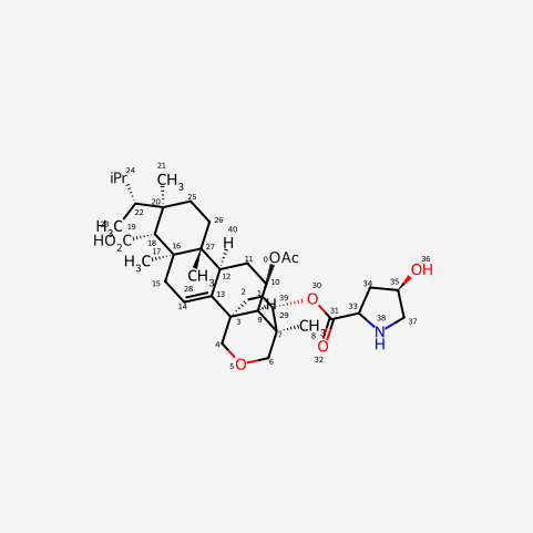 CC(=O)O[C@@H]1C[C@@]23COC[C@@](C)([C@@H]2CC[C@H]2C3=CC[C@@]3(C)[C@H](C(=O)O)[C@@](C)([C@H](C)C(C)C)CC[C@]23C)[C@H]1OC(=O)C1C[C@@H](O)CN1